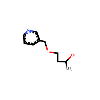 CC(O)CCOCc1cccnc1